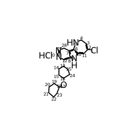 Cl.ClC1=CCNc2c3c([nH]c2=C1)=C([C@H]1CC[C@@H](OC2CCCCC2)CC1)N=NC3